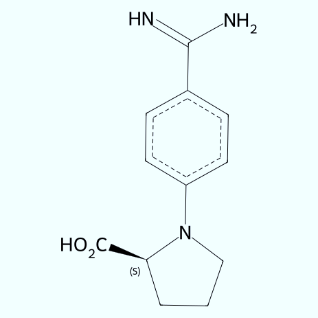 N=C(N)c1ccc(N2CCC[C@H]2C(=O)O)cc1